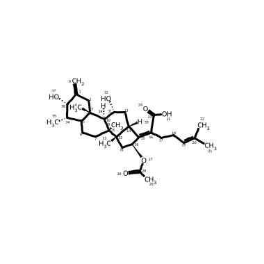 C=C1C[C@@]2(C)C(CC[C@@]3(C)[C@@H]2[C@H](O)C[C@@H]2C(=C(CCC=C(C)C)C(=O)O)[C@@H](OC(C)=O)C[C@@]23C)[C@H](C)[C@@H]1O